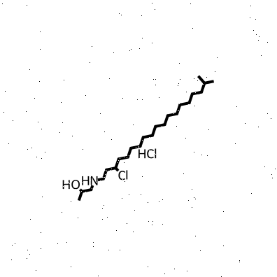 CC(C)CCCCCCCCCCCCCCC(Cl)CCNCC(C)O.Cl